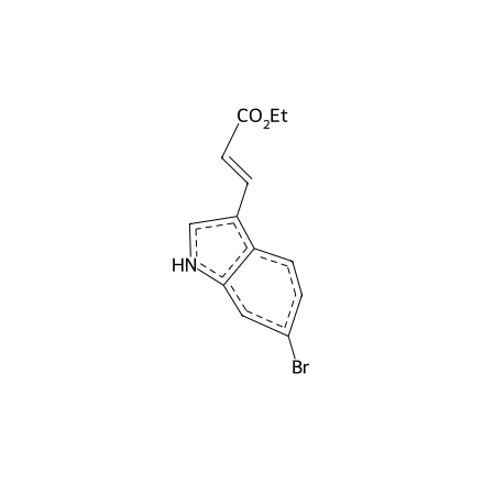 CCOC(=O)C=Cc1c[nH]c2cc(Br)ccc12